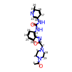 CC(=O)N1CCN(Cc2nc3c(NC(=O)Nc4ccc(C)nc4)cccc3o2)CC1